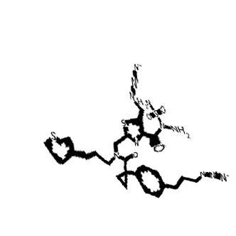 [N-]=[N+]=NCCCc1ccc(C2(C(=O)N(CCCc3ccsc3)Cc3nc(C(=O)N(N)S(N)(=O)=O)c(CN=[N+]=[N-])s3)CC2)cc1